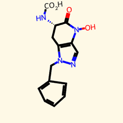 O=C(O)N[C@H]1Cc2c(cnn2Cc2ccccc2)N(O)C1=O